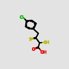 O=C(O)C(S)C(=S)Cc1ccc(Cl)cc1